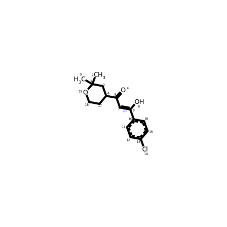 CC1(C)CC(C(=O)/C=C(\O)c2ccc(Cl)cc2)CCO1